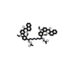 CCOc1ccc2ccccc2c1C(=O)c1ccc2c(c1)c1cc(/C(CCCCCC/C(=N\OC(C)=O)c3ccc4c(c3)c3cc(C(=O)c5c(OCC)ccc6ccccc56)ccc3n4CC)=N/OC(C)=O)ccc1n2CC